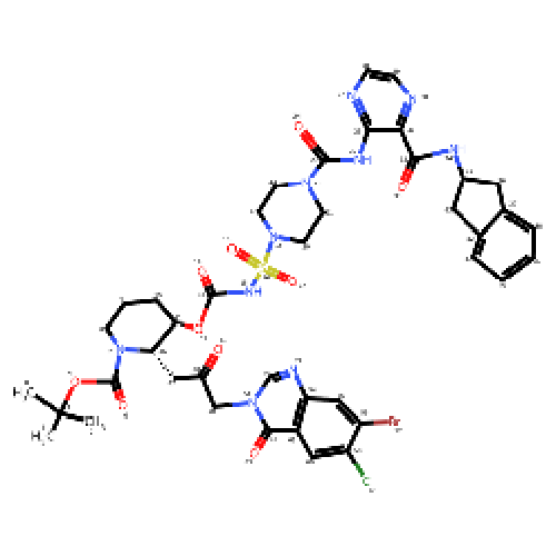 CC(C)(C)OC(=O)N1CCC[C@@H](OC(=O)NS(=O)(=O)N2CCN(C(=O)Nc3nccnc3C(=O)NC3Cc4ccccc4C3)CC2)[C@@H]1CC(=O)Cn1cnc2cc(Br)c(Cl)cc2c1=O